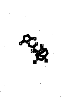 O=C(CN1C(=O)CCC1=O)NC12C[C@@H]3CC(C[C@@H](C3)C1)N2